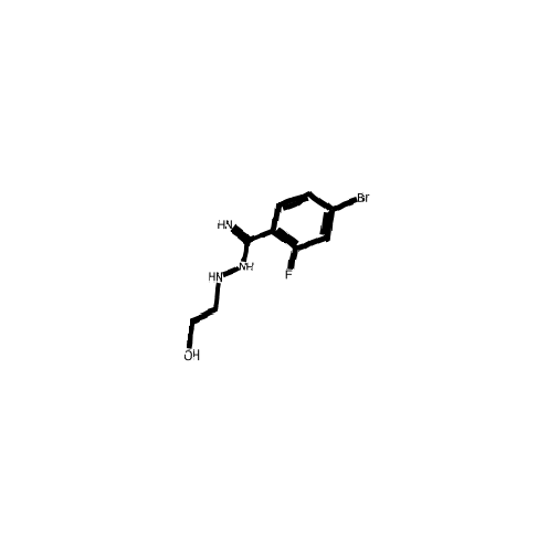 N=C(NNCCO)c1ccc(Br)cc1F